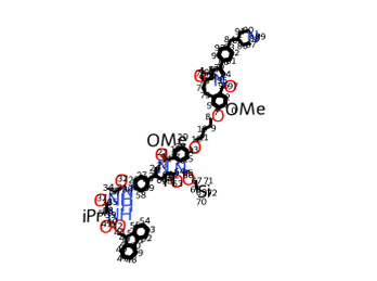 COc1cc2c(cc1OCCCCCOc1cc3c(cc1OC)C(=O)N1C=C(c4ccc(NC(=O)[C@H](C)NC(=O)[C@@H](NC(=O)OCC5c6ccccc6-c6ccccc65)C(C)C)cc4)C[C@H]1C(=O)N3COCC[Si](C)(C)C)CCC(=O)[C@@H]1CC(c3ccc(CC4CCN(C)CC4)cc3)=CN1C2=O